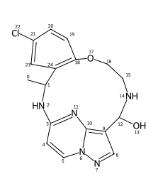 CC1Nc2ccn3ncc(c3n2)C(O)NCCOc2ccc(Cl)cc21